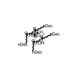 CCCCCCCCCCCCCCCC(=O)OCC(COC(=O)CCCCCCCCCCCCCCC)OC(=O)OC(C)Cl.CCCCCCCCCCCCCCCC(=O)OCC(O)COC(=O)CCCCCCCCCCCCCCC